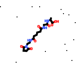 CC(NC(=O)CNC(=O)CCCCC(=O)NCCN1C(=O)C=CC1=O)C(=O)O